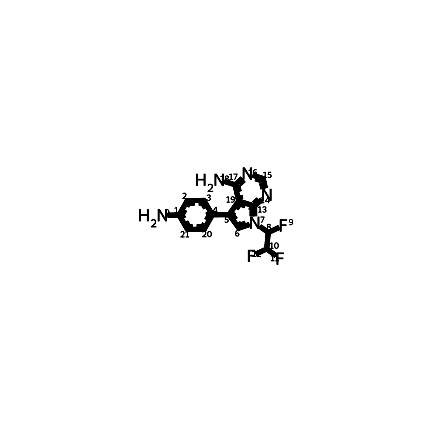 Nc1ccc(-c2cn(C(F)C(F)F)c3ncnc(N)c23)cc1